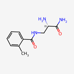 Cc1ccccc1C(=O)NC[C@H](N)C(N)=O